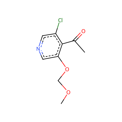 COCOc1cncc(Cl)c1C(C)=O